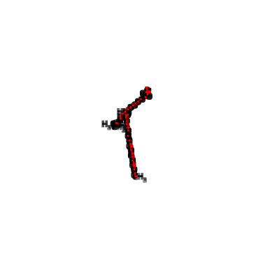 COCCOCCOCCOCCOCCOCCOCCOCCOCCOCCOCCOCCNC(=O)[C@H](Cc1ccc(OCC(=O)OC(C)(C)C)cc1)NC(=O)CCOCCOCCOCCOCCN1C(=O)c2ccccc2C1=O